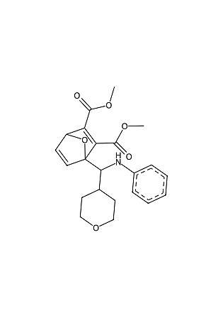 COC(=O)C1=C(C(=O)OC)C2(C(Nc3ccccc3)C3CCOCC3)C=CC1O2